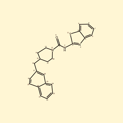 O=C(Nc1nc2ccccc2s1)N1CCC(Cc2ccc3ccccc3c2)CC1